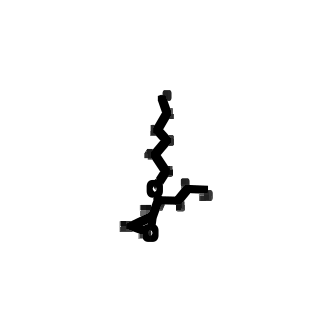 CCCCCCOC(CCC)C1CO1